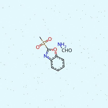 CS(=O)(=O)c1nc2ccccc2o1.NC=O